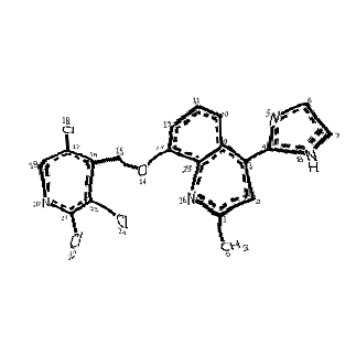 Cc1cc(-c2ncc[nH]2)c2cccc(OCc3c(Cl)cnc(Cl)c3Cl)c2n1